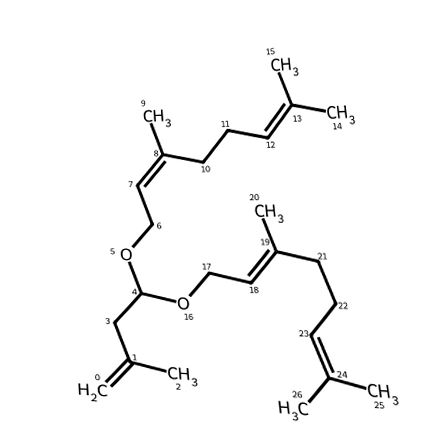 C=C(C)CC(OCC=C(C)CCC=C(C)C)OCC=C(C)CCC=C(C)C